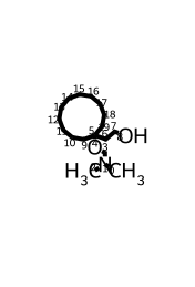 CN(C)COC1(CCO)CCCCCCCCCCC1